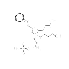 CCCCC[N+](CCC)(CCCCC)CCCCc1ccccc1.CS(=O)(=O)O